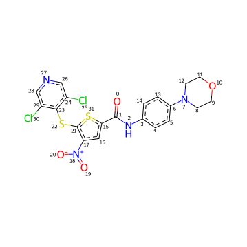 O=C(Nc1ccc(N2CCOCC2)cc1)c1cc([N+](=O)[O-])c(Sc2c(Cl)cncc2Cl)s1